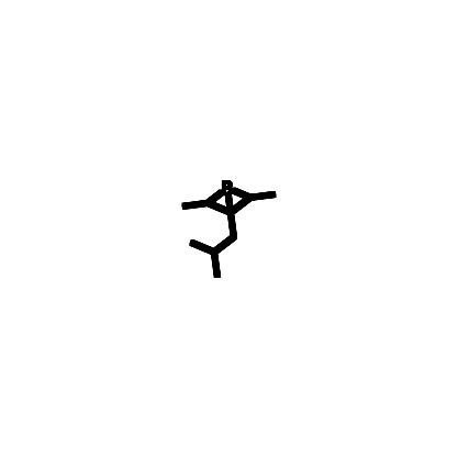 CC(C)CC12B(C1C)C2C